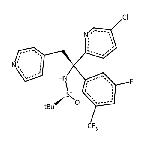 CC(C)(C)[S@+]([O-])N[C@@](Cc1ccncc1)(c1cc(F)cc(C(F)(F)F)c1)c1ccc(Cl)cn1